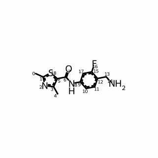 Cc1nc(C)c(C(=O)Nc2ccc(CN)c(F)c2)s1